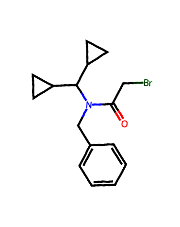 O=C(CBr)N(Cc1ccccc1)C(C1CC1)C1CC1